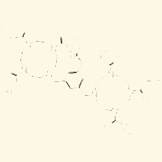 CC(C)(C)OC(=O)N1CCN(Cc2cc(CCCF)cc(CN3CCN(C(=O)OC(C)(C)C)CCN(C(=O)OC(C)(C)C)CCN(C(=O)OC(C)(C)C)CC3)c2)CCN(C(=O)OC(C)(C)C)CCN(C(=O)OC(C)(C)C)CC1